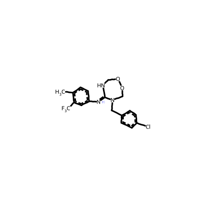 Cc1ccc(/N=C2\NCOOCN2Cc2ccc(Cl)cc2)cc1C(F)(F)F